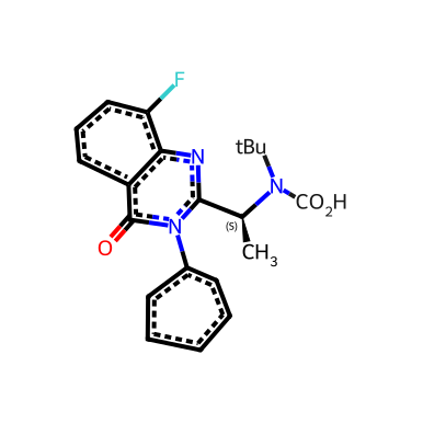 C[C@@H](c1nc2c(F)cccc2c(=O)n1-c1ccccc1)N(C(=O)O)C(C)(C)C